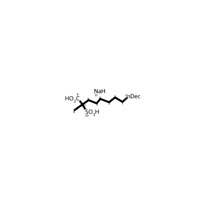 CCCCCCCCCCCCCCCCC(C)(C(=O)O)S(=O)(=O)O.[NaH]